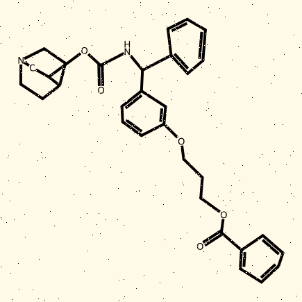 O=C(NC(c1ccccc1)c1cccc(OCCCOC(=O)c2ccccc2)c1)OC1CN2CCC1CC2